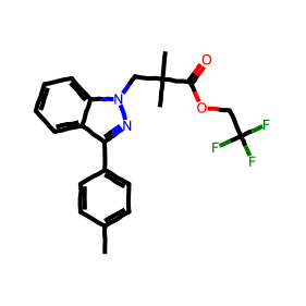 Cc1ccc(-c2nn(CC(C)(C)C(=O)OCC(F)(F)F)c3ccccc23)cc1